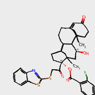 CC12CCC(=O)C=C1CCC1C2[C@@H](O)CC2(C)C1CC[C@]2(OC(=O)c1ccc(F)cc1F)C(=O)CSc1nc2ccccc2s1